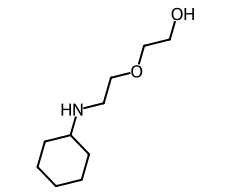 OCCOCCNC1CCCCC1